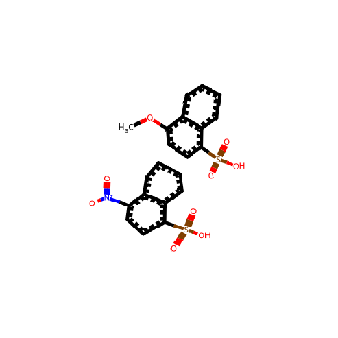 COc1ccc(S(=O)(=O)O)c2ccccc12.O=[N+]([O-])c1ccc(S(=O)(=O)O)c2ccccc12